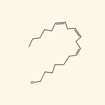 CCCCC/C=C\C/C=C\C/C=C\CCCCCCCl